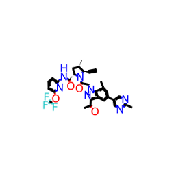 C#C[C@@H]1[C@@H](C)C[C@@H](C(=O)Nc2cccc(OC(F)(F)F)n2)N1C(=O)Cn1nc(C(C)=O)c2cc(-c3cnc(C)nc3)cc(C)c21